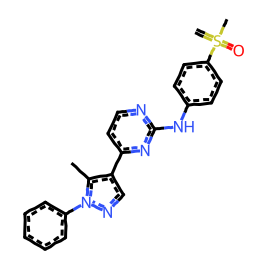 C=S(C)(=O)c1ccc(Nc2nccc(-c3cnn(-c4ccccc4)c3C)n2)cc1